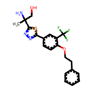 CC(N)(CO)c1nnc(-c2ccc(OCCc3ccccc3)c(C(F)(F)F)c2)s1